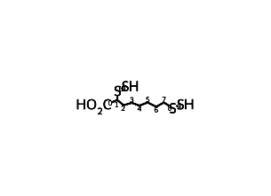 O=C(O)C(CCCCCCSS)SS